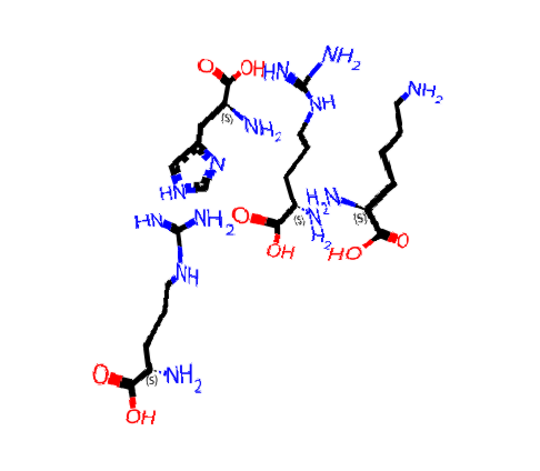 N=C(N)NCCC[C@H](N)C(=O)O.N=C(N)NCCC[C@H](N)C(=O)O.NCCCC[C@H](N)C(=O)O.N[C@@H](Cc1c[nH]cn1)C(=O)O